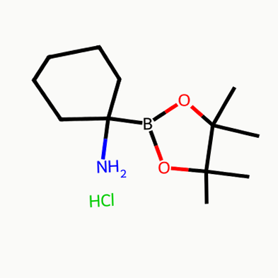 CC1(C)OB(C2(N)CCCCC2)OC1(C)C.Cl